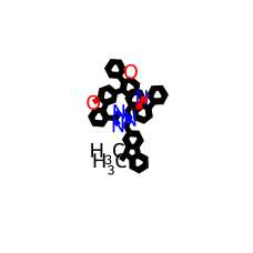 CC1(C)c2ccccc2-c2ccc(-c3nc(-c4ccccc4)nc(-c4cccc5oc6ccc(-c7cc(-n8c9ccccc9c9ccccc98)cc8oc9ccccc9c78)cc6c45)n3)cc21